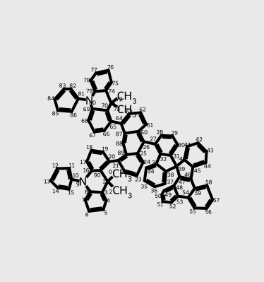 CC1(C)c2ccccc2N(c2ccccc2)c2cccc(-c3cccc4c(-c5cccc6c5-c5ccccc5C65c6ccccc6-c6c5c5ccccc5c5ccccc65)c5cccc(-c6cccc7c6C(C)(C)c6ccccc6N7c6ccccc6)c5cc34)c21